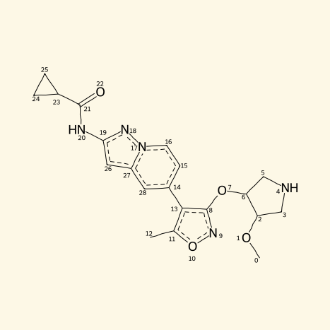 COC1CNCC1Oc1noc(C)c1-c1ccn2nc(NC(=O)C3CC3)cc2c1